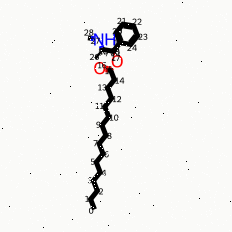 CCCCCCCCCCCCCCCC(=O)O[C@H](c1ccccc1)[C@@H](C)NC